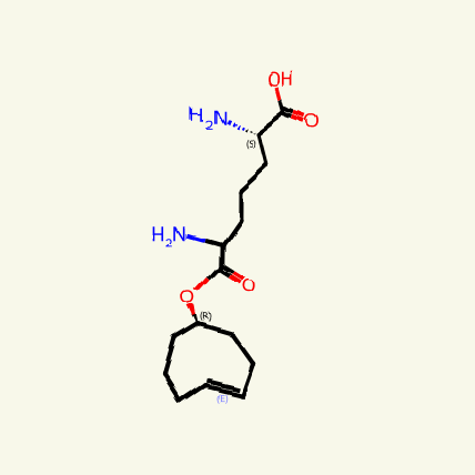 NC(CCC[C@H](N)C(=O)O)C(=O)O[C@H]1CC/C=C/CCC1